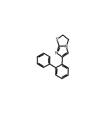 c1ccc(-c2ccccc2-c2cn3c(n2)SCC3)cc1